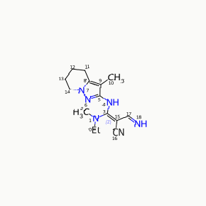 CCN(C)/C(Nc1nn2c(c1C)CCCC2)=C(\C#N)C=N